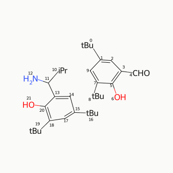 CC(C)(C)c1cc(C=O)c(O)c(C(C)(C)C)c1.CC(C)C(N)c1cc(C(C)(C)C)cc(C(C)(C)C)c1O